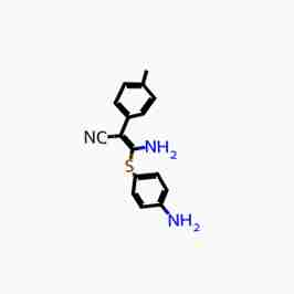 Cc1ccc(/C(C#N)=C(\N)Sc2ccc(N)cc2)cc1